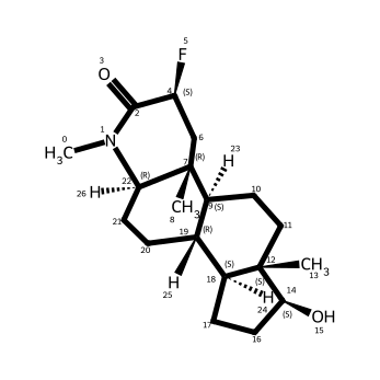 CN1C(=O)[C@@H](F)C[C@]2(C)[C@H]3CC[C@]4(C)[C@@H](O)CC[C@H]4[C@@H]3CC[C@@H]12